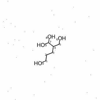 OCCCC(CO)C(O)O